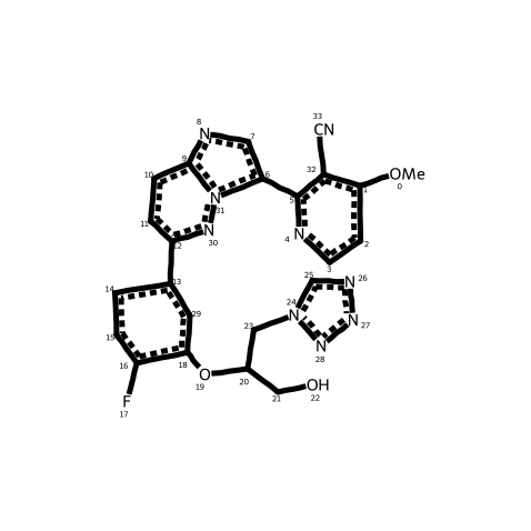 COc1ccnc(-c2cnc3ccc(-c4ccc(F)c(OC(CO)Cn5cnnn5)c4)nn23)c1C#N